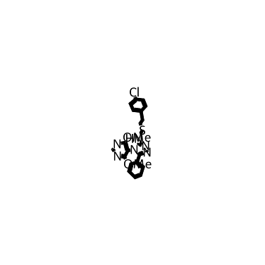 COc1ncnc(OC)c1-n1c(NSCCc2ccc(Cl)cc2)nnc1-c1ccccc1